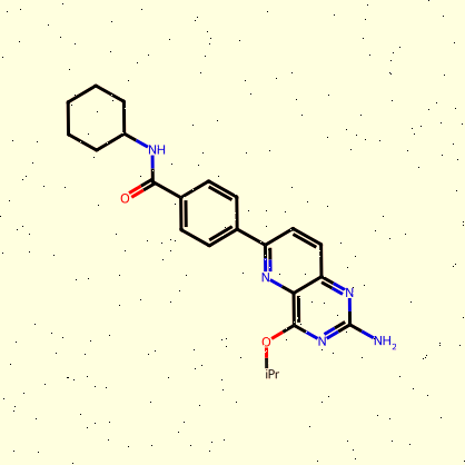 CC(C)Oc1nc(N)nc2ccc(-c3ccc(C(=O)NC4CCCCC4)cc3)nc12